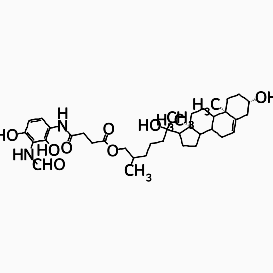 CC(CCC[C@](C)(O)C1CCC2C3CC=C4C[C@@H](O)CC[C@]4(C)C3CC[C@@]21C)COC(=O)CCC(=O)Nc1ccc(O)c(NC=O)c1O